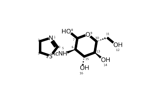 C1=NCCS1.CC(=O)N[C@H]1C(O)O[C@H](CO)[C@@H](O)[C@@H]1O